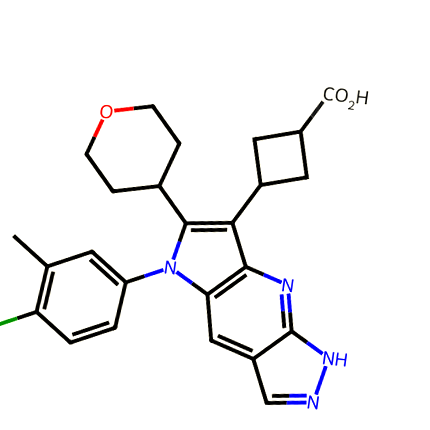 Cc1cc(-n2c(C3CCOCC3)c(C3CC(C(=O)O)C3)c3nc4[nH]ncc4cc32)ccc1F